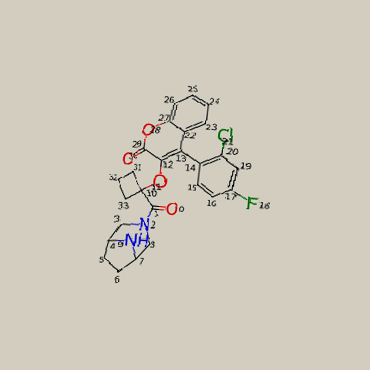 O=C(N1CC2CCC(C1)N2)C1(Oc2c(-c3ccc(F)cc3Cl)c3ccccc3oc2=O)CCC1